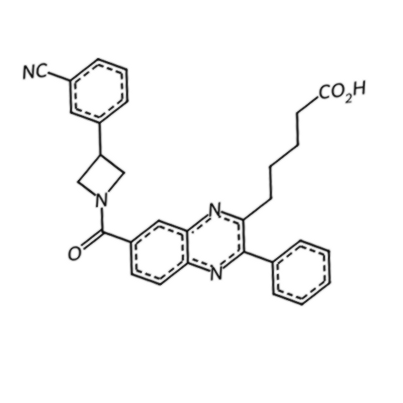 N#Cc1cccc(C2CN(C(=O)c3ccc4nc(-c5ccccc5)c(CCCCC(=O)O)nc4c3)C2)c1